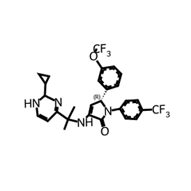 CC(C)(NC1=C[C@H](c2cccc(OC(F)(F)F)c2)N(c2ccc(C(F)(F)F)cc2)C1=O)C1=NC(C2CC2)NC=C1